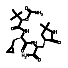 CC1(C)C[C@@H](C[C@H](NC(=O)[C@H](CC2CC2)NC(=O)[C@@H](OC(N)=O)C(C)(C)C)C(N)=O)C(=O)N1